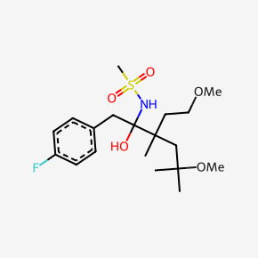 COCCC(C)(CC(C)(C)OC)C(O)(Cc1ccc(F)cc1)NS(C)(=O)=O